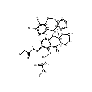 CCC(=O)O/N=c1\ccn2c(c1OCOC(=O)OC)C(=O)N1CCOC[C@H]1N2[C@@H]1c2ccccc2SCc2c1ccc(F)c2F